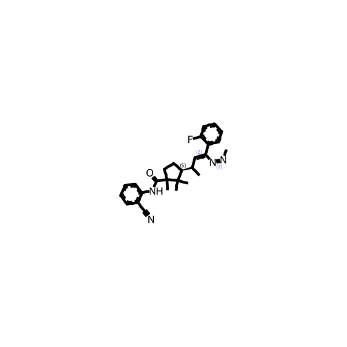 C/N=N\C(=C/C(C)[C@@H]1CCC(C)(C(=O)Nc2ccccc2C#N)C1(C)C)c1ccccc1F